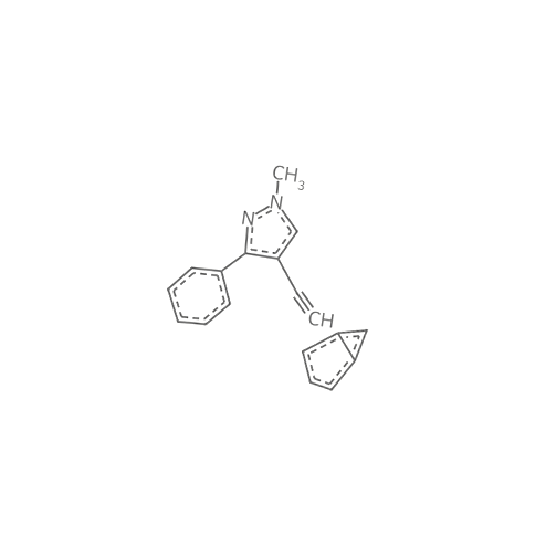 C#Cc1cn(C)nc1-c1ccccc1.c1cc2cc-2c1